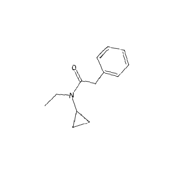 CCN(C(=O)Cc1ccccc1)C1CC1